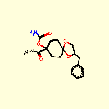 CNC(=O)C1(OC(N)=O)CCC2(CC1)OCC(Cc1ccccc1)O2